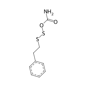 NC(=O)OSSCCc1ccccc1